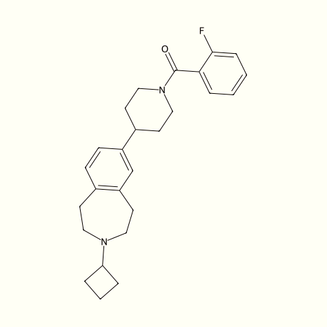 O=C(c1ccccc1F)N1CCC(c2ccc3c(c2)CCN(C2CCC2)CC3)CC1